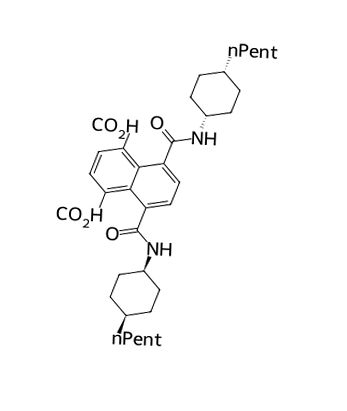 CCCCC[C@H]1CC[C@@H](NC(=O)c2ccc(C(=O)N[C@H]3CC[C@@H](CCCCC)CC3)c3c(C(=O)O)ccc(C(=O)O)c23)CC1